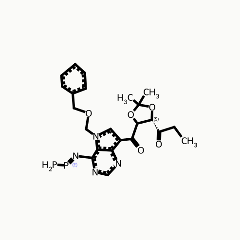 CCC(=O)[C@H]1OC(C)(C)OC1C(=O)c1cn(COCc2ccccc2)c2c(/N=P/P)ncnc12